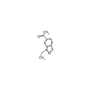 CCn1ncc2ccc(C(C)=O)cc21